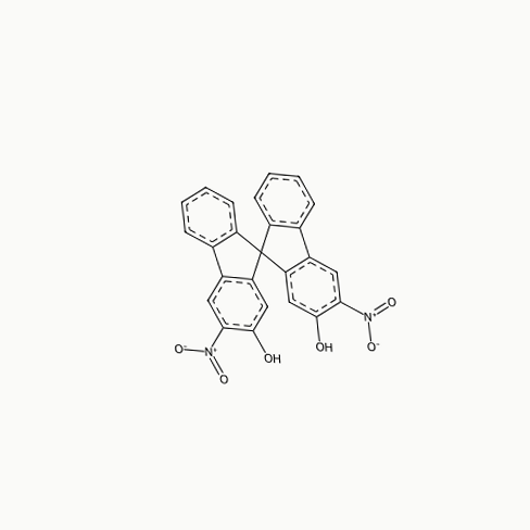 O=[N+]([O-])c1cc2c(cc1O)C1(c3ccccc3-2)c2ccccc2-c2cc([N+](=O)[O-])c(O)cc21